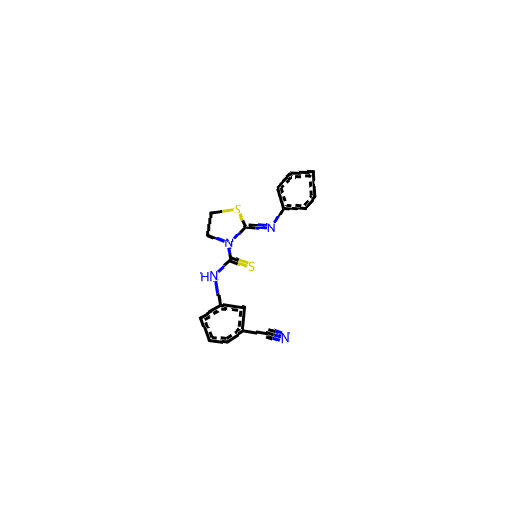 N#Cc1cccc(NC(=S)N2CCSC2=Nc2ccccc2)c1